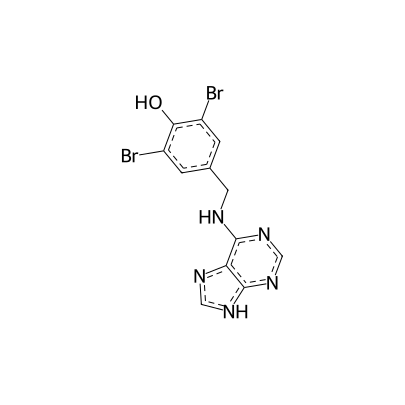 Oc1c(Br)cc(CNc2ncnc3[nH]cnc23)cc1Br